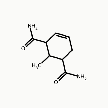 CC1C(C(N)=O)C=CCC1C(N)=O